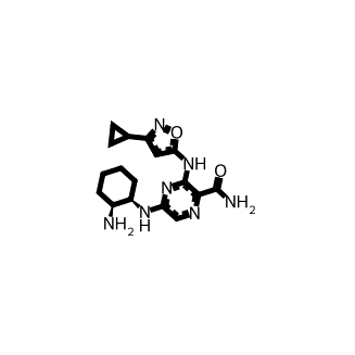 NC(=O)c1ncc(N[C@@H]2CCCC[C@@H]2N)nc1Nc1cc(C2CC2)no1